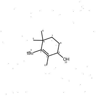 CC1=C(C(C)(C)C)C(C)(C)CCC1O